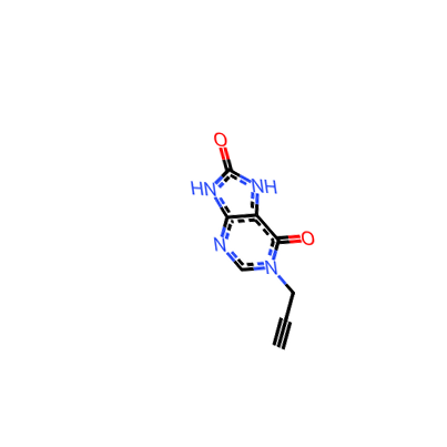 C#CCn1cnc2[nH]c(=O)[nH]c2c1=O